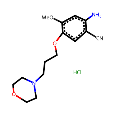 COc1cc(N)c(C#N)cc1OCCCN1CCOCC1.Cl